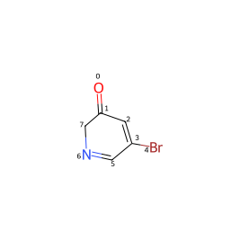 O=C1C=C(Br)C=NC1